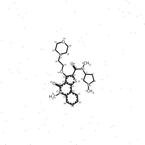 CN1CCC(N(C)C(=O)c2sc3c(c2OCCN2CCOCC2)c(=O)n(C)c2ccccc32)C1